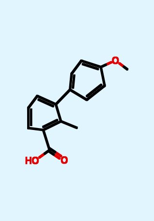 COc1ccc(-c2cccc(C(=O)O)c2C)cc1